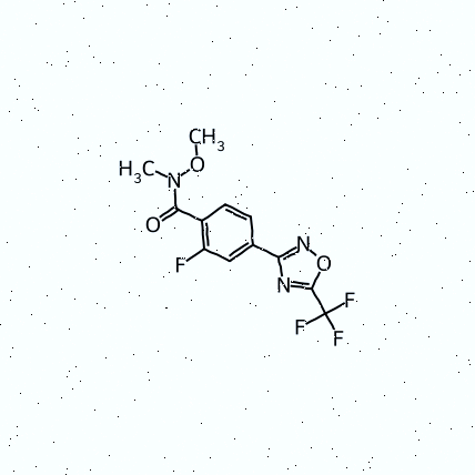 CON(C)C(=O)c1ccc(-c2noc(C(F)(F)F)n2)cc1F